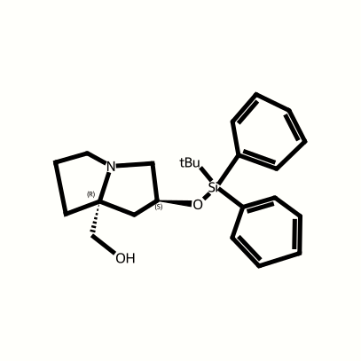 CC(C)(C)[Si](O[C@@H]1CN2CCC[C@]2(CO)C1)(c1ccccc1)c1ccccc1